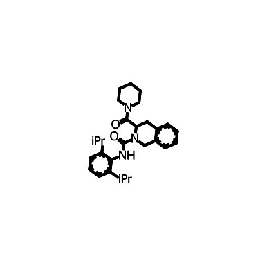 CC(C)c1cccc(C(C)C)c1NC(=O)N1Cc2ccccc2CC1C(=O)N1CCCCC1